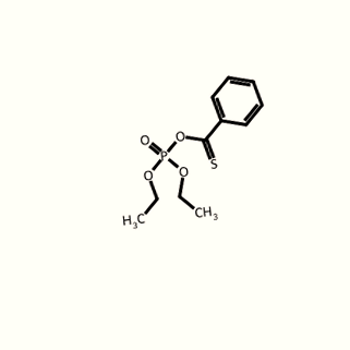 CCOP(=O)(OCC)OC(=S)c1ccccc1